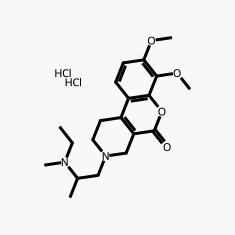 CCN(C)C(C)CN1CCc2c(c(=O)oc3c(OC)c(OC)ccc23)C1.Cl.Cl